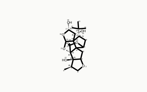 C[C@@H]1COC2CC34C5C[C@@H](C(C)(C)C)C36C(O[C@H](O)[C@@H]6O)O[C@@]4(C(=O)O5)[C@]21O